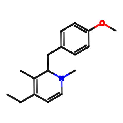 CCC1=C(C)C(Cc2ccc(OC)cc2)N(C)C=C1